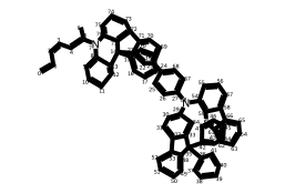 C=C/C=C\C=C(/C)N1c2ccccc2C2(c3ccccc3)c3cc(-c4ccc(N(c5ccc6c(c5)C(c5ccccc5)(c5ccccc5)c5ccccc5-6)c5cccc6c5sc5ccccc56)cc4)ccc3-c3cccc1c32